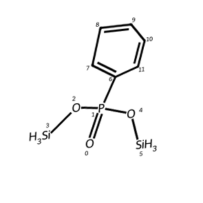 O=P(O[SiH3])(O[SiH3])c1ccccc1